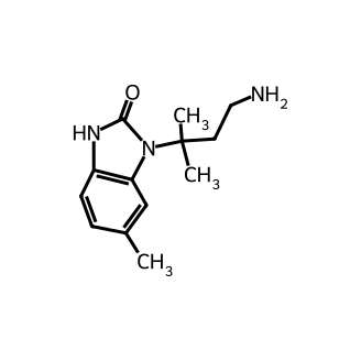 Cc1ccc2[nH]c(=O)n(C(C)(C)CCN)c2c1